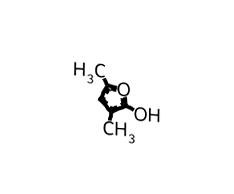 Cc1cc(C)c(O)o1